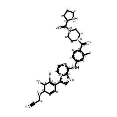 Cc1cc(Nc2nccn3c(C4=C(F)C(F)C(OCC#N)C=C4)cnc23)ccc1C(=O)N1CCN(C(=O)C2CCCN2)CC1